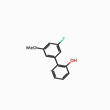 COc1cc(F)cc(-c2[c]cccc2O)c1